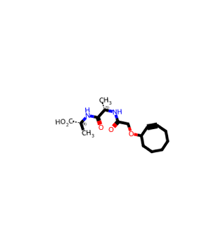 C[C@H](NC(=O)COC1C#CCCCCC1)C(=O)N[C@H](C)C(=O)O